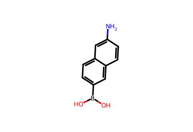 Nc1ccc2cc(B(O)O)ccc2c1